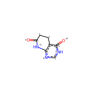 O=C1CCc2c(nc[nH]c2=O)N1